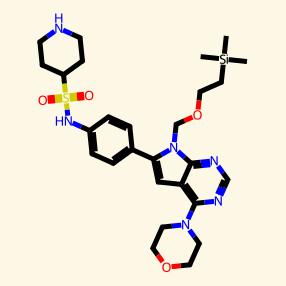 C[Si](C)(C)CCOCn1c(-c2ccc(NS(=O)(=O)C3CCNCC3)cc2)cc2c(N3CCOCC3)ncnc21